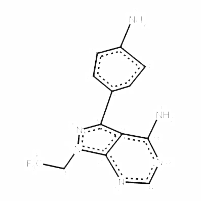 Nc1ccc(-c2nn(CC(F)(F)F)c3ncnc(N)c23)cc1